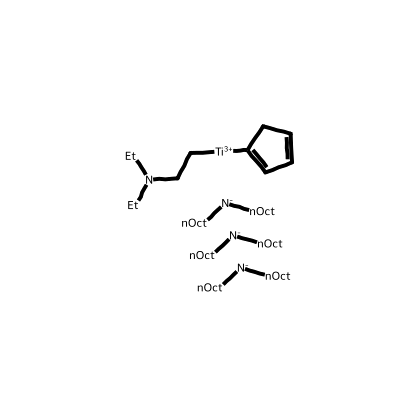 CCCCCCCC[N-]CCCCCCCC.CCCCCCCC[N-]CCCCCCCC.CCCCCCCC[N-]CCCCCCCC.CCN(CC)C[CH2][Ti+3][C]1=CC=CC1